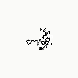 C=C/C(Cl)=C\C=C/C[C@H]1[C@H](C(=O)NCCCN2CCOCC2)N[C@H](CC(C)(C)C)[C@]12C(=O)Nc1cc(Cl)c(F)cc12